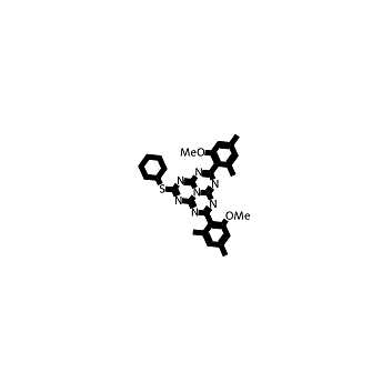 COc1cc(C)cc(C)c1C1=NC2=NC(SC3CCCCC3)=NC3=NC(c4c(C)cc(C)cc4OC)=NC(=N1)N23